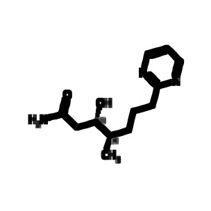 C[C@H](CCCc1ncccn1)[C@@H](O)CC(N)=O